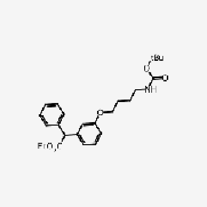 CCOC(=O)C(c1ccccc1)c1cccc(OCCCCNC(=O)OC(C)(C)C)c1